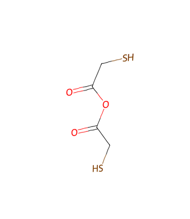 O=C(CS)OC(=O)CS